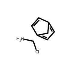 C1=CC2=CC=C1C2.NCCl